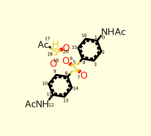 CC(=O)Nc1ccc(S(=O)(=O)c2ccc(NC(C)=O)cc2)cc1.CC(=O)[SH](=O)=O